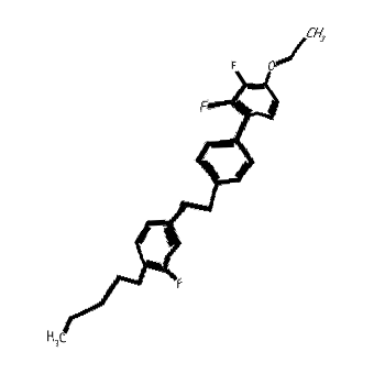 CCCCCc1ccc(CCc2ccc(-c3ccc(OCC)c(F)c3F)cc2)cc1F